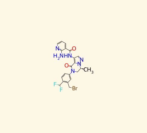 C[C@H]1CN(c2ccc(C(F)F)c(CBr)c2)C(=O)c2c(NC(=O)c3cccnc3N)cnn21